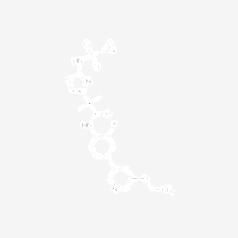 CC(C)(C(=O)Nc1ccc(-c2cncc(OCC(F)(F)F)c2)cc1F)c1csc(NS(=O)(=O)C2CC2)n1